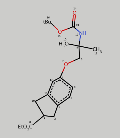 CCOC(=O)C1Cc2ccc(OCC(C)(C)NC(=O)OC(C)(C)C)cc2C1